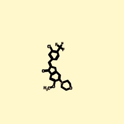 COc1cc2c(cc1N1CCOCC1)C/C(=C\c1ccc(C(F)(F)F)c(Cl)c1)C2=O